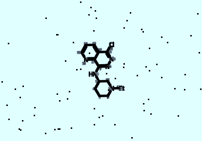 CCN1CCC[C@@H](Nc2nnc(Cl)c3cccnc23)C1